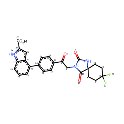 O=C(CN1C(=O)NC2(CCC(F)(F)CC2)C1=O)c1ccc(-c2cccc3[nH]c(C(=O)O)cc23)cc1